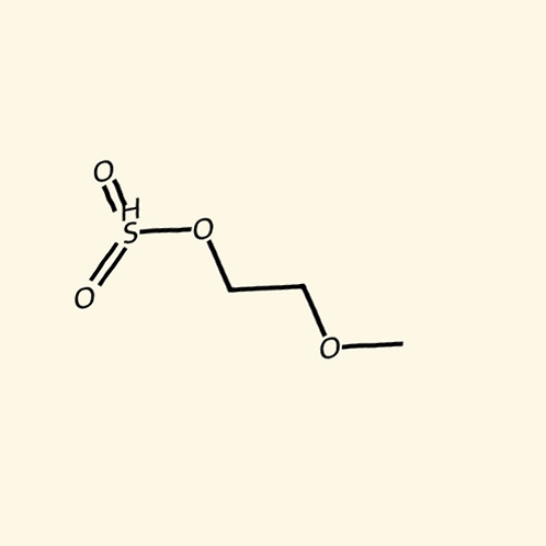 COCCO[SH](=O)=O